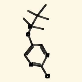 CC(C)(C)[Si](C)(C)Oc1cnc(Cl)nc1